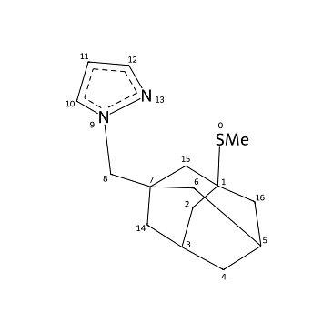 CSC12CC3CC(CC(Cn4cccn4)(C3)C1)C2